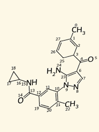 CC1=CC(C(=O)c2cnn(-c3cc(C(=O)NC4CC4)ccc3C)c2N)CC=C1